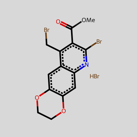 Br.COC(=O)c1c(Br)nc2cc3c(cc2c1CBr)OCCO3